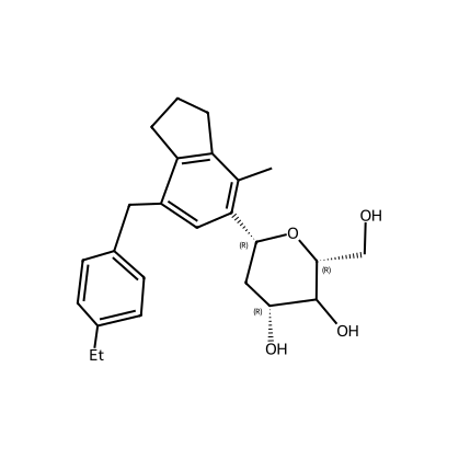 CCc1ccc(Cc2cc([C@H]3C[C@@H](O)C(O)[C@@H](CO)O3)c(C)c3c2CCC3)cc1